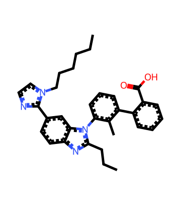 CCCCCCn1ccnc1-c1ccc2nc(CCC)n(-c3cccc(-c4ccccc4C(=O)O)c3C)c2c1